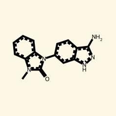 Cn1c(=O)n(-c2ccc3c(N)n[nH]c3c2)c2ccccc21